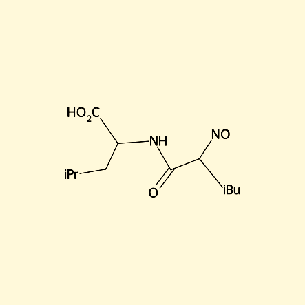 CCC(C)C(N=O)C(=O)NC(CC(C)C)C(=O)O